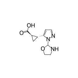 O=C(O)[C@@H]1C[C@H]1c1ccnn1C1NCCO1